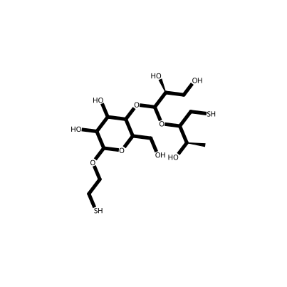 C[C@@H](O)C(CS)OC(OC1C(CO)OC(OCCS)C(O)C1O)[C@@H](O)CO